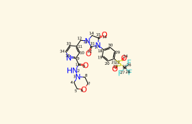 O=C(NN1CCOCC1)c1cc(CN2CC(=O)N(c3ccc(S(=O)(=O)C(F)(F)F)cc3)C2=O)ccn1